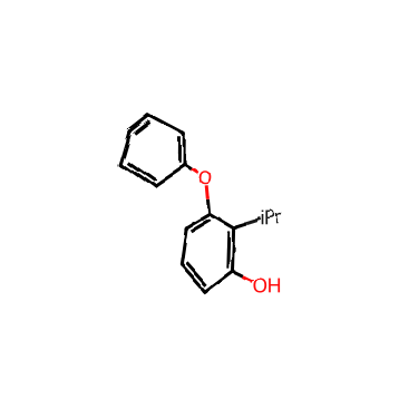 CC(C)c1c(O)cccc1Oc1ccccc1